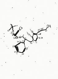 CC(C)(C)OC(=O)NCC(Cc1ccc(CCO)cc1)c1ccccc1